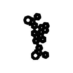 CC12CCCCCCC1(C)N(c1ccccc1)c1ccc(-c3ccc4c(c3)C3(c5cc(-c6ccc7c(c6)C6(C)CCCCCCC6(C)N7c6ccccc6)ccc5-4)c4ccccc4-c4c3cc3ccc5cccc6ccc4c3c56)cc12